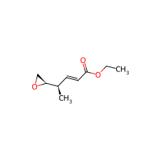 CCOC(=O)/C=C/[C@@H](C)[C@@H]1CO1